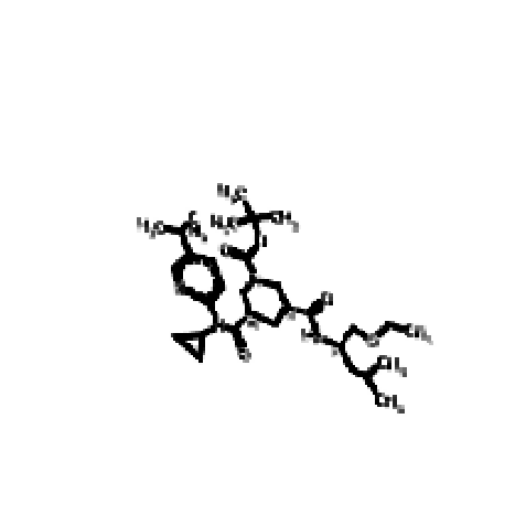 CCOC[C@@H](CC(C)C)NC(=O)[C@H]1C[C@@H](C(=O)N(c2ccc(C(C)C)cn2)C2CC2)CN(C(=O)OC(C)(C)C)C1